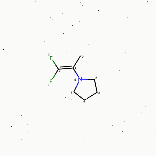 CC(=C(F)F)N1CCCC1